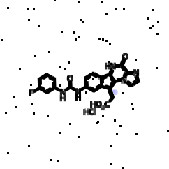 Cl.O=C(O)/C=c1\c2cc(NC(=O)Nc3cccc(F)c3)ccc2c2[nH]c(=O)c3nccn3c12